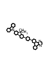 CC1(C)c2cc(-c3ccc(-c4ccc5c(c4)c4ccccc4c4nccnc54)cc3)ccc2-c2ccc(-n3c4ccccc4c4ccccc43)cc21